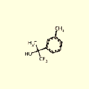 Cc1cccc(C(C)(O)C(F)(F)F)c1